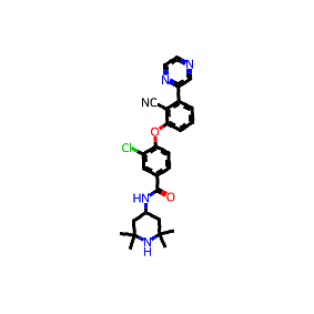 CC1(C)CC(NC(=O)c2ccc(Oc3cccc(-c4cnccn4)c3C#N)c(Cl)c2)CC(C)(C)N1